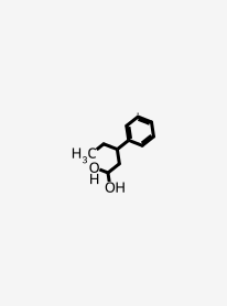 CCC(CC(O)O)c1c[c]ccc1